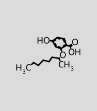 CCCCCCC(C)Oc1cc(O)ccc1C(=O)O